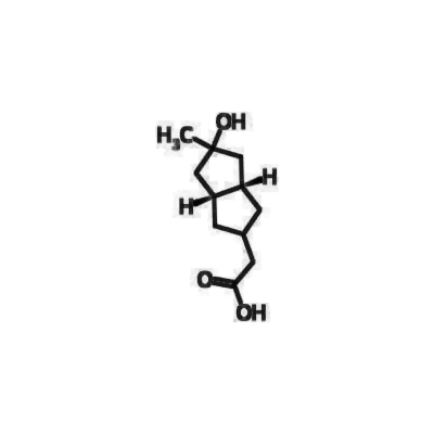 CC1(O)C[C@H]2CC(CC(=O)O)C[C@H]2C1